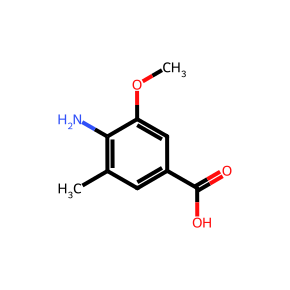 COc1cc(C(=O)O)cc(C)c1N